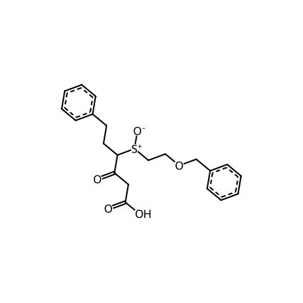 O=C(O)CC(=O)C(CCc1ccccc1)[S+]([O-])CCOCc1ccccc1